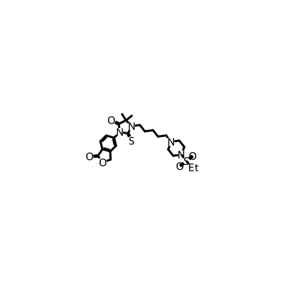 CCS(=O)(=O)N1CCN(CCCCCN2C(=S)N(c3ccc4c(c3)COC4=O)C(=O)C2(C)C)CC1